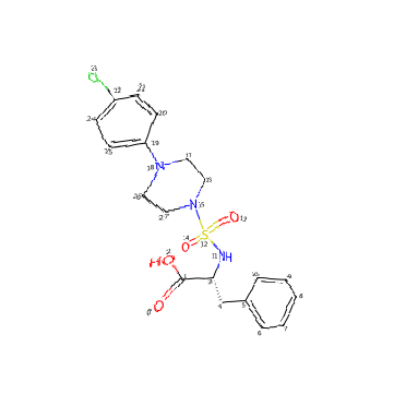 O=C(O)[C@@H](Cc1ccccc1)NS(=O)(=O)N1CCN(c2ccc(Cl)cc2)CC1